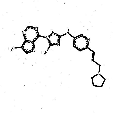 Cc1csc2c(-n3nc(Nc4ccc(C=CCN5CCCC5)nc4)nc3N)ncnc12